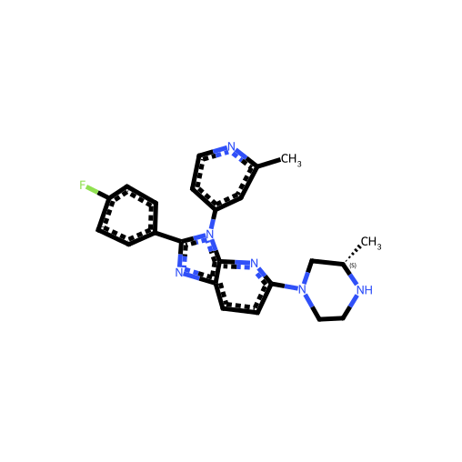 Cc1cc(-n2c(-c3ccc(F)cc3)nc3ccc(N4CCN[C@@H](C)C4)nc32)ccn1